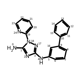 Nc1nc(Nc2cccc(-c3ccccc3)c2)nn1-c1ccccn1